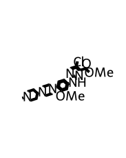 COC(=O)c1nc(Nc2ccc(N3CCN(C4CCN(C)CC4)CC3)c(OC)c2)ncc1Cl